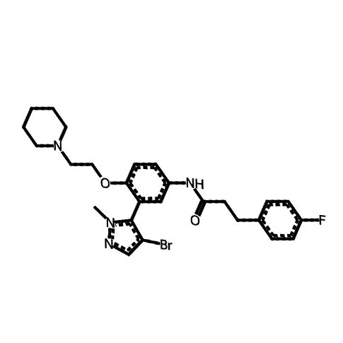 Cn1ncc(Br)c1-c1cc(NC(=O)CCc2ccc(F)cc2)ccc1OCCN1CCCCC1